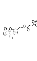 CCC(C)(C)OC(O)CCCCOC(=O)CCC(O)O